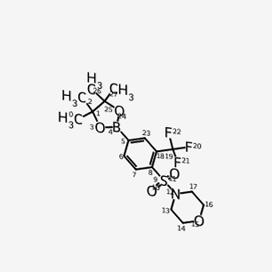 CC1(C)OB(c2ccc(S(=O)(=O)N3CCOCC3)c(C(F)(F)F)c2)OC1(C)C